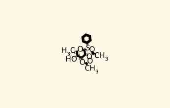 CC(=O)O[C@@H]1[C@@H](O)[C@H](C)O[C@@H](Sc2ccccc2)[C@@H]1OC(C)=O